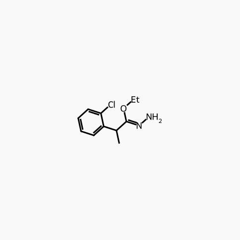 CCOC(=NN)C(C)c1ccccc1Cl